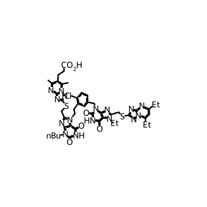 CCCCn1c(=O)[nH]c(=O)c2c1nc(CSc1nc3nc(C)c(CCC(=O)O)c(C)n3n1)n2CCc1cc(Cn2c(=O)[nH]c(=O)c3c2nc(CSc2nc4nc(CC)cc(CC)n4n2)n3CC)ccc1Cl